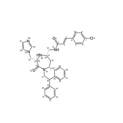 O=C(C=Cc1ccc(Cl)cc1)NC[C@@H]1CCN(CC(c2ccccc2)c2ccccc2)C(=O)[C@H](Cn2ccnc2)N1